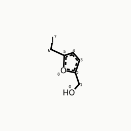 OCc1ccc(CI)o1